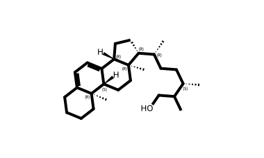 CC(CO)[C@@H](C)CC[C@@H](C)[C@H]1CC[C@H]2C3=CC=C4CCCC[C@]4(C)[C@H]3CC[C@]12C